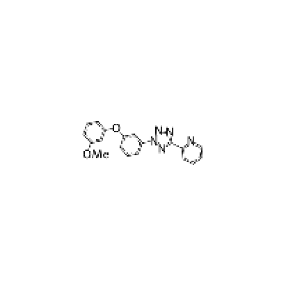 COc1cccc(Oc2cccc(-n3nnc(-c4ccccn4)n3)c2)c1